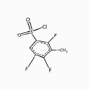 Cc1c(F)c(F)cc(S(=O)(=O)Cl)c1F